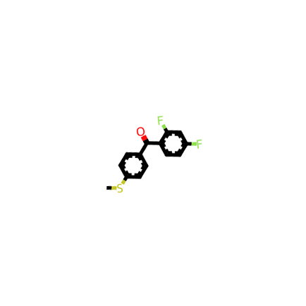 CSc1ccc(C(=O)c2ccc(F)cc2F)cc1